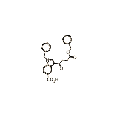 O=C(CCC(=O)c1cn(Cc2ccccc2)c2ccc(C(=O)O)cc12)OCc1ccccc1